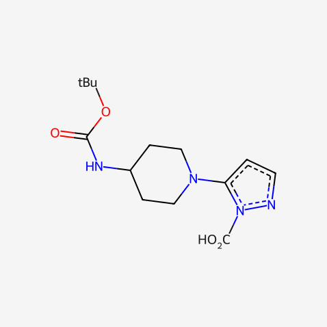 CC(C)(C)OC(=O)NC1CCN(c2ccnn2C(=O)O)CC1